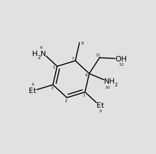 CCC1=CC(CC)=C(N)C(C)C1(N)CO